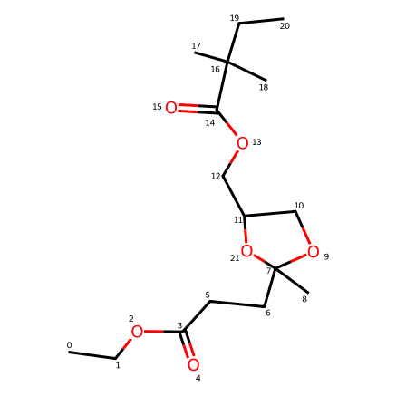 CCOC(=O)CCC1(C)OCC(COC(=O)C(C)(C)CC)O1